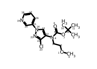 COCCN(C(=O)OC(C)(C)C)c1cn(-c2cccnc2)nc1Cl